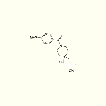 CNc1ccc(C(=O)N2CCC(O)(CC(C)(C)O)CC2)cc1